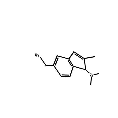 CC1=Cc2cc(CC(C)C)ccc2[CH]1[Zr]([CH3])[CH3]